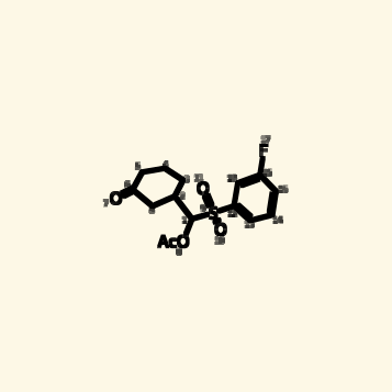 CC(=O)OC(C1CCCC(=O)C1)S(=O)(=O)c1cccc(F)c1